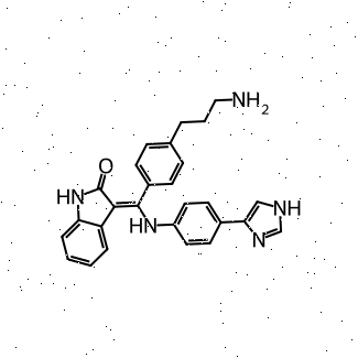 NCCCc1ccc(C(Nc2ccc(-c3c[nH]cn3)cc2)=C2C(=O)Nc3ccccc32)cc1